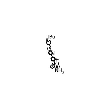 CC(C)(C)CN1CCC(COc2ccc(-c3ccc(C(=O)N4CCC[C@H]4C(N)=O)c(F)c3)nc2)CC1